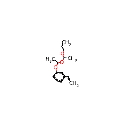 C=Cc1cccc(OC(C)OC(C)OCCC)c1